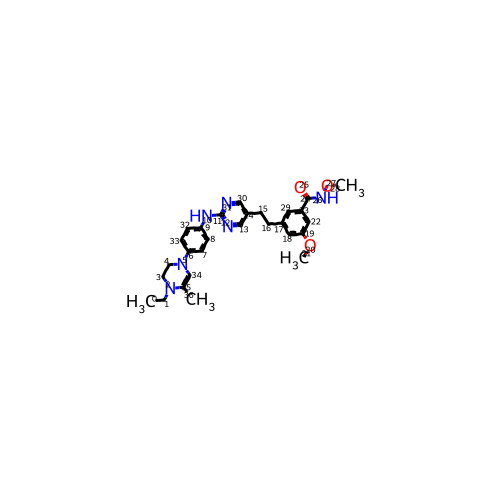 CCN1CCN(c2ccc(Nc3ncc(CCc4cc(OC)cc(C(=O)NOC)c4)cn3)cc2)C=C1C